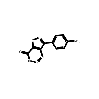 Nc1ccc(-c2nsc3c(=O)[nH]nnc23)cc1